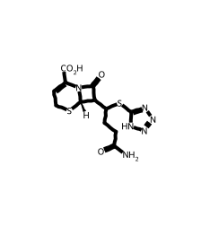 NC(=O)CCC(Sc1nnn[nH]1)C1C(=O)N2C(C(=O)O)=CCS[C@@H]12